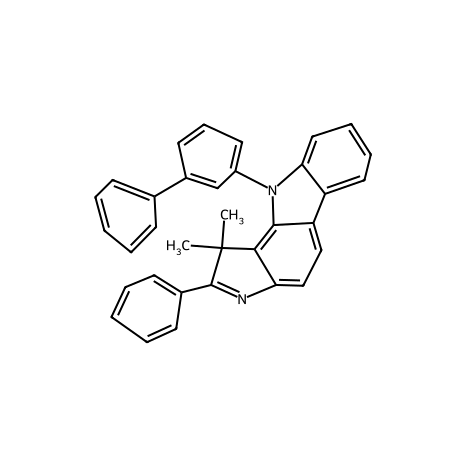 CC1(C)C(c2ccccc2)=Nc2ccc3c4ccccc4n(-c4cccc(-c5ccccc5)c4)c3c21